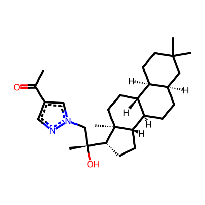 CC(=O)c1cnn(C[C@@](C)(O)[C@H]2CC[C@H]3[C@@H]4CC[C@@H]5CC(C)(C)CC[C@@H]5[C@H]4CC[C@@]32C)c1